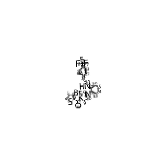 O=C(c1sccc1Br)N1CCN(c2ccccc2NCCc2ccc(C(F)(F)F)cc2)CC1